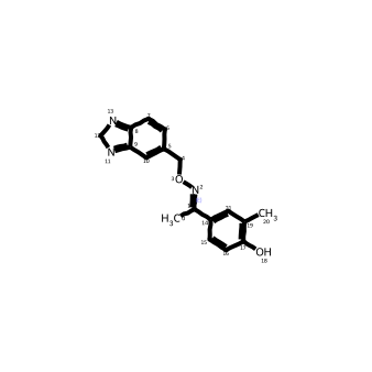 C/C(=N\OCc1ccc2c(c1)=NCN=2)c1ccc(O)c(C)c1